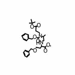 COC(=O)C(CCOCc1ccccc1)NCC(C)N(CCC(=O)OC(C)(C)C)C(=O)OCc1ccccc1